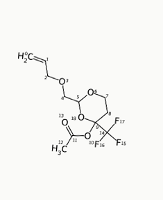 C=CCOCC1OCCC(OC(C)=O)(C(F)(F)F)O1